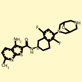 Cc1ccc2c(N)c(C(=O)N[C@@H]3CCc4c(F)c(N5CC6CNCC(C5)O6)cc(F)c4C3)sc2n1